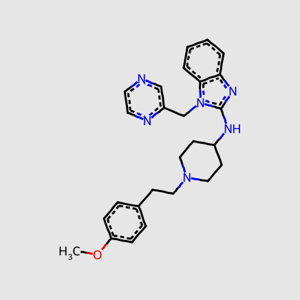 COc1ccc(CCN2CCC(Nc3nc4ccccc4n3Cc3cnccn3)CC2)cc1